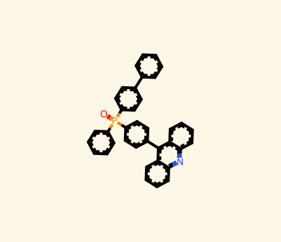 O=P(c1ccccc1)(c1ccc(-c2ccccc2)cc1)c1ccc(-c2c3ccccc3nc3ccccc23)cc1